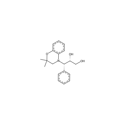 CC1(C)CN([C@@H](c2ccccc2)[C@H](O)CO)c2ccccc2O1